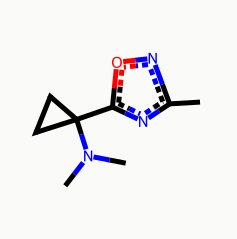 Cc1noc(C2(N(C)C)CC2)n1